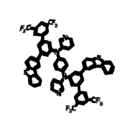 FC(F)(F)c1cc(-c2cc(-c3ccc4sc5ccccc5c4c3)cc(N(c3ccc(N(c4cccnc4)c4cc(-c5cc(C(F)(F)F)cc(C(F)(F)F)c5)cc(-c5ccc6sc7ccccc7c6c5)c4)cc3)c3cccnc3)c2)cc(C(F)(F)F)c1